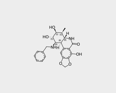 C[C@@H]1[C@H](O)[C@@H](O)[C@H](NCc2ccccc2)[C@@H]2c3cc4c(c(O)c3C(=O)N[C@@H]12)OCO4